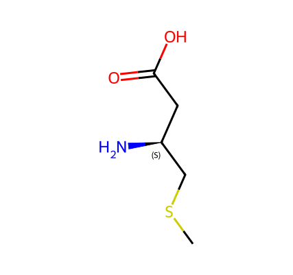 CSC[C@@H](N)CC(=O)O